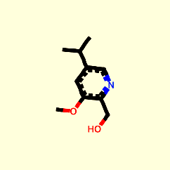 COc1cc(C(C)C)cnc1CO